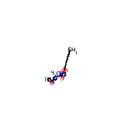 CCCCCCCCCCCCCCCC(=O)OC1CCCn2c1nc(C)c(CCN1CCC(C3=NOC4C=C(F)C=CC34)CC1)c2=O